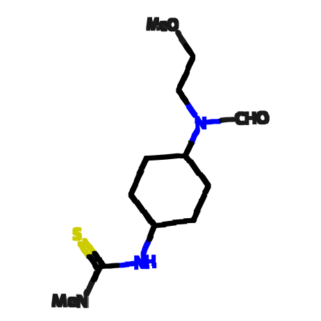 CNC(=S)NC1CCC(N(C=O)CCOC)CC1